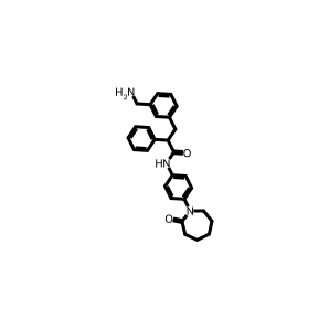 NCc1cccc(CC(C(=O)Nc2ccc(N3CCCCCC3=O)cc2)c2ccccc2)c1